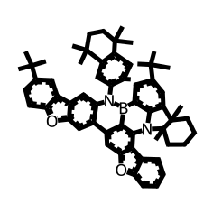 Cc1cc2c(cc1N1B3c4cc(C(C)(C)C)cc5c4N(c4c3c(cc3oc6ccccc6c43)-c3cc4oc6ccc(C(C)(C)C)cc6c4cc31)C1(C)CCCCC51C)C(C)(C)CCC2(C)C